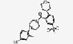 CCc1ccc(N2CCN(C(=O)c3cc(S(C)(=O)=O)ccc3C3CCOCC3)CC2)c(F)c1